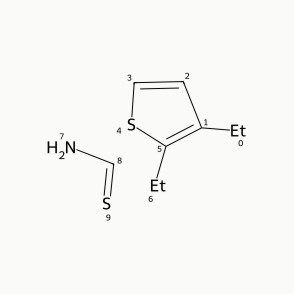 CCc1ccsc1CC.NC=S